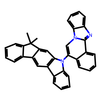 CC1(C)c2ccccc2-c2cc3c4ccccc4n(-c4cn5c6ccccc6nc5c5ccccc45)c3cc21